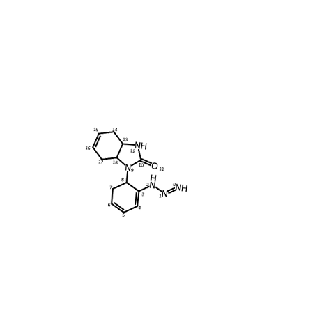 N=NNC1=CC=CCC1N1C(=O)NC2CC=CCC21